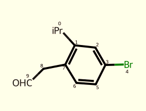 CC(C)c1cc(Br)ccc1CC=O